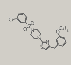 COc1cccc(Cc2csc(N3CCN(S(=O)(=O)c4cccc(Cl)c4)CC3)n2)c1